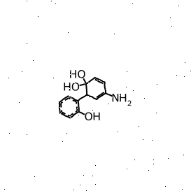 NC1=CC(c2ccccc2O)C(O)(O)C=C1